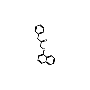 O=C(COc1cccc2ccccc12)Cc1ccccc1